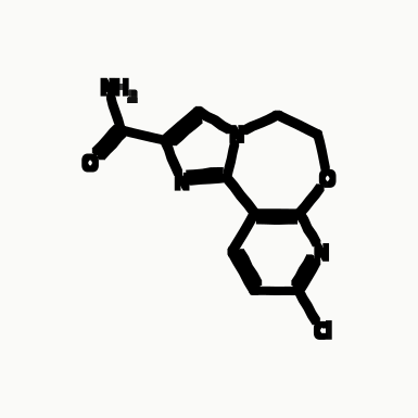 NC(=O)c1cn2c(n1)-c1ccc(Cl)nc1OCC2